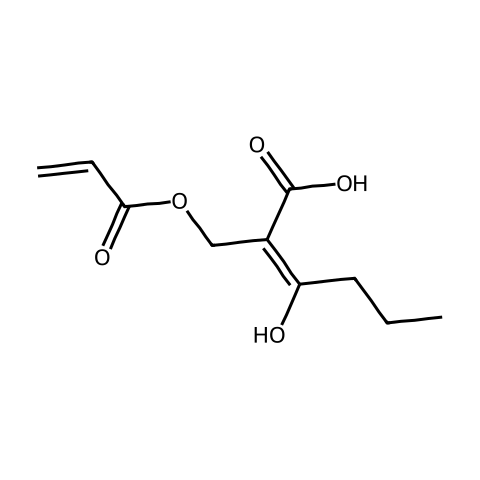 C=CC(=O)OCC(C(=O)O)=C(O)CCC